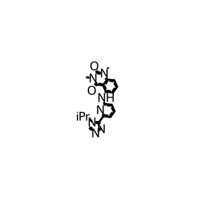 CC(C)n1cnnc1-c1cccc(Nc2cccc3c2c(=O)n(C)c(=O)n3C)n1